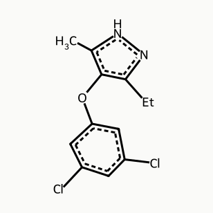 CCc1n[nH]c(C)c1Oc1cc(Cl)cc(Cl)c1